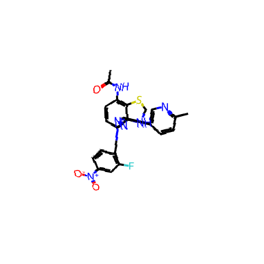 CC(=O)NC1=C2SCNC23C(c2ccc(C)nc2)=NN(c2ccc([N+](=O)[O-])cc2F)C3C=C1